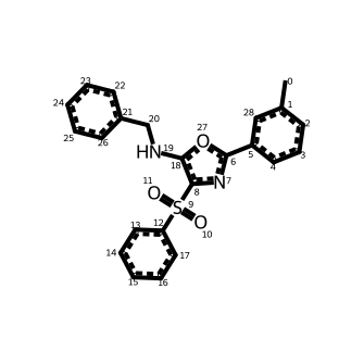 Cc1cccc(-c2nc(S(=O)(=O)c3ccccc3)c(NCc3ccccc3)o2)c1